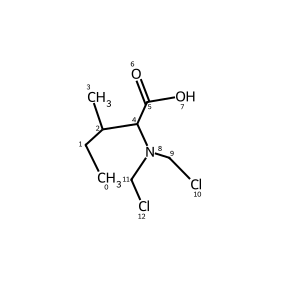 CCC(C)C(C(=O)O)N(CCl)CCl